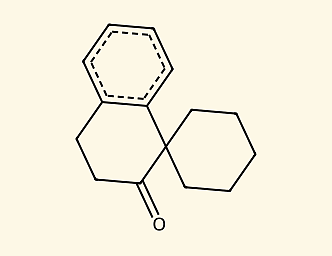 O=C1CCc2ccccc2C12CCCCC2